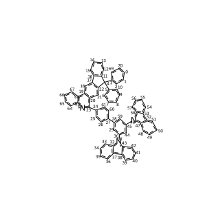 c1ccc(C2(c3ccccc3)c3ccccc3-c3cc4c(cc32)c(-c2ccc(-c3cc(-n5c6ccccc6c6ccccc65)cc(-n5c6ccccc6c6ccccc65)c3)cc2)nc2ccccc24)cc1